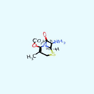 CC1=C(OC(=O)O)N2C(=O)[C@@H](N)[C@H]2SC1